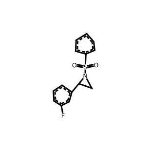 O=S(=O)(c1ccccc1)N1CC1c1cccc(F)c1